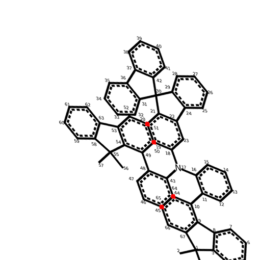 CC1(C)c2ccccc2-c2c(-c3ccccc3N(c3ccc4c(c3)-c3ccccc3C43c4ccccc4-c4ccccc43)c3ccccc3-c3cccc4c3C(C)(C)c3ccccc3-4)cccc21